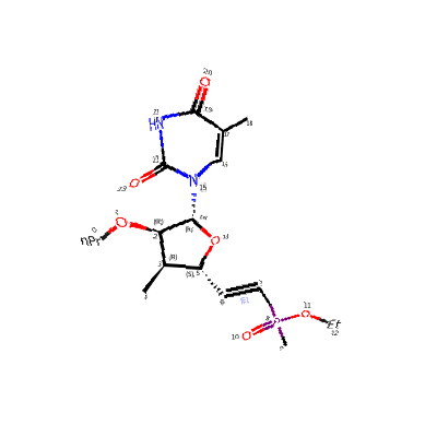 CCCO[C@@H]1[C@H](C)[C@@H](/C=C/P(C)(=O)OCC)O[C@H]1n1cc(C)c(=O)[nH]c1=O